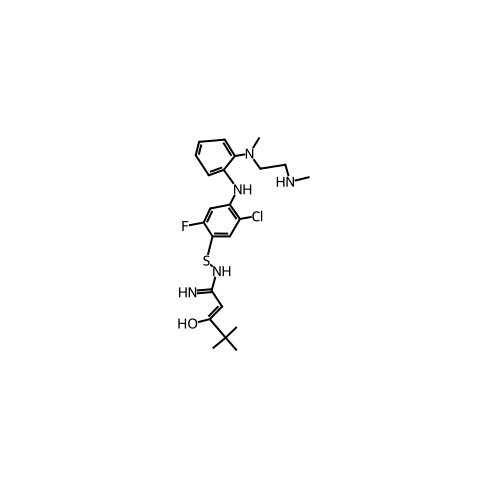 CNCCN(C)c1ccccc1Nc1cc(F)c(SNC(=N)/C=C(\O)C(C)(C)C)cc1Cl